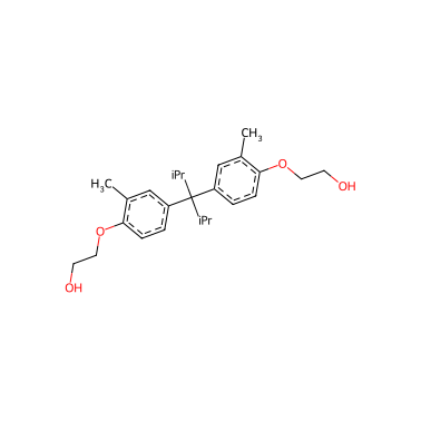 Cc1cc(C(c2ccc(OCCO)c(C)c2)(C(C)C)C(C)C)ccc1OCCO